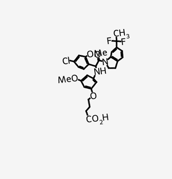 COc1cc(NC(C(=O)N2CCc3ccc(C(C)(F)F)cc32)c2ccc(Cl)cc2OC)cc(OCCCC(=O)O)c1